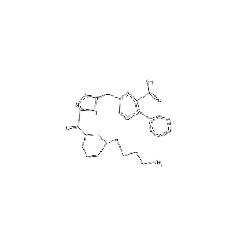 CCCCCC1CCCC(C(=O)c2ncn(Cc3ccc(-c4ccccc4)c(C(=O)O)c3)n2)C1